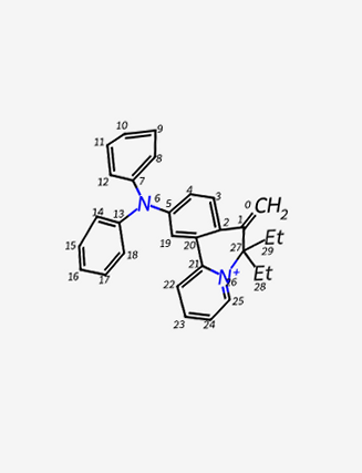 C=C1c2ccc(N(c3ccccc3)c3ccccc3)cc2-c2cccc[n+]2C1(CC)CC